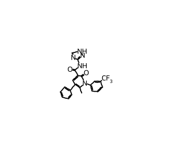 Cc1c(-c2ccccc2)cc(C(=O)Nc2nc[nH]n2)c(=O)n1-c1cccc(C(F)(F)F)c1